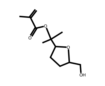 C=C(C)C(=O)OC(C)(C)C1CCC(CO)O1